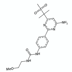 COCCNC(=O)Nc1ccc(-c2nc(N)cc(C(C)(C)S(C)(=O)=O)n2)cc1